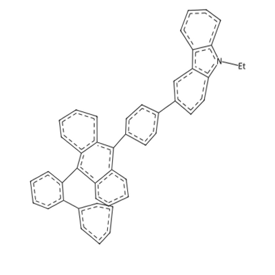 CCn1c2ccccc2c2cc(-c3ccc(-c4c5ccccc5c(-c5ccccc5-c5ccccc5)c5ccccc45)cc3)ccc21